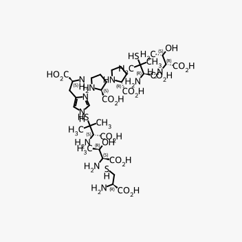 CC(C)(S)[C@@H](N)C(=O)O.CC(C)(S)[C@H](N)C(=O)O.C[C@@H](O)[C@H](N)C(=O)O.C[C@H](O)[C@@H](N)C(=O)O.N[C@@H](CS)C(=O)O.N[C@@H](Cc1c[nH]cn1)C(=O)O.O=C(O)[C@@H]1CCCN1.O=C(O)[C@H]1CCCN1